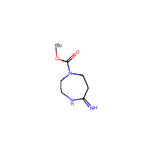 CC(C)(C)OC(=O)N1CCNC(=N)CC1